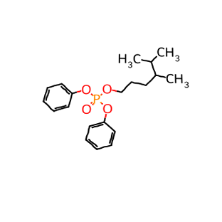 CC(C)C(C)CCCOP(=O)(Oc1ccccc1)Oc1ccccc1